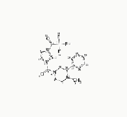 CN1CCN(C(=O)c2ccc(C(=O)C(F)(F)F)s2)CC1c1ccccc1